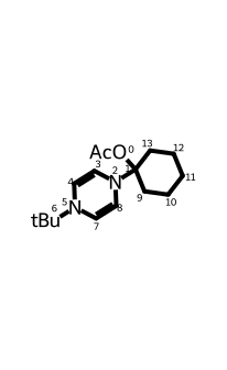 CC(=O)OC1(N2C=CN(C(C)(C)C)C=C2)CCCCC1